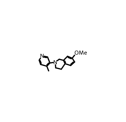 COc1ccc2c(c1)CN(c1cnccc1C)CC2